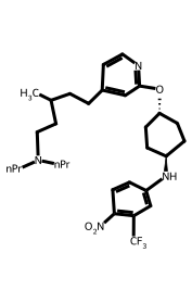 CCCN(CCC)CCC(C)CCc1ccnc(O[C@H]2CC[C@H](Nc3ccc([N+](=O)[O-])c(C(F)(F)F)c3)CC2)c1